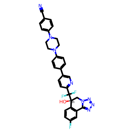 N#Cc1ccc(N2CCN(c3ccc(-c4ccc(C(F)(F)[C@]5(O)Cn6nnnc6-c6cc(F)ccc65)nc4)cc3)CC2)cc1